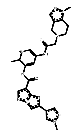 CC1NC=C(NC(=O)CN2CCc3c(cnn3C)C2)C=C1NC(=O)c1cnn2cc(-c3cnn(C)c3)sc12